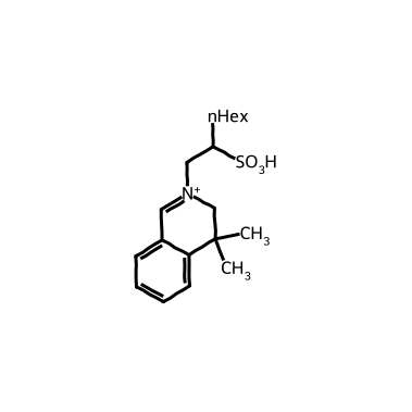 CCCCCCC(C[N+]1=Cc2ccccc2C(C)(C)C1)S(=O)(=O)O